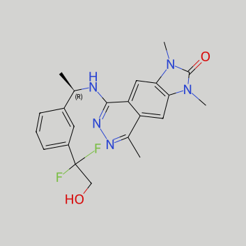 Cc1nnc(N[C@H](C)c2cccc(C(F)(F)CO)c2)c2cc3c(cc12)n(C)c(=O)n3C